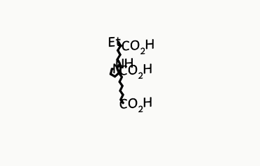 CCC(CCCNN1CCC[C@@]1(CCCCCCC(=O)O)C(=O)O)C(=O)O